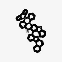 B1c2cccc3c2N(c2ccccc2[Si]32c3ccccc3-c3ccccc32)c2cc3oc4ccccc4c3c(-c3cccc4c3[nH]c3c#cc5ccccc5c34)c21